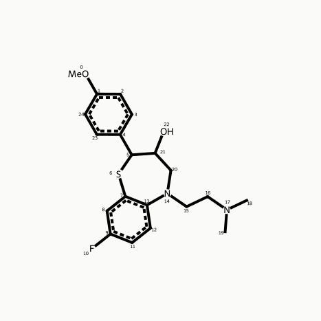 COc1ccc(C2Sc3cc(F)ccc3N(CCN(C)C)CC2O)cc1